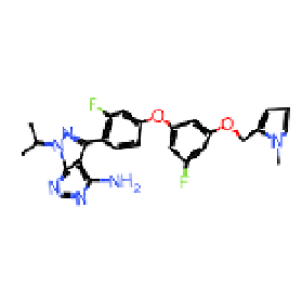 CC(C)n1nc(-c2ccc(Oc3cc(F)cc(OCc4cccn4C)c3)cc2F)c2c(N)ncnc21